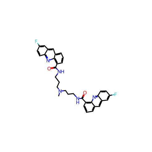 CN(CCCNC(=O)c1cccc2cc3cc(F)ccc3nc12)CCCNC(=O)c1cccc2cc3cc(F)ccc3nc12